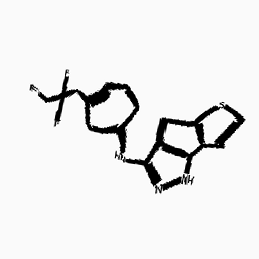 FC(F)(F)c1cccc(Nc2n[nH]c3c2Cc2sccc2-3)c1